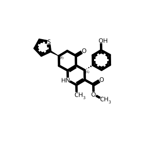 COC(=O)C1=C(C)NC2=C(C(=O)C[C@H](c3cccs3)C2)[C@@H]1c1cccc(O)c1